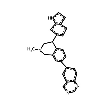 CN1Cc2cc(-c3ccc4ncncc4c3)ccc2C(c2ccc3cc[nH]c3c2)C1